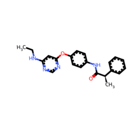 CCNc1cc(Oc2ccc(NC(=O)[C@H](C)c3ccccc3)cc2)ncn1